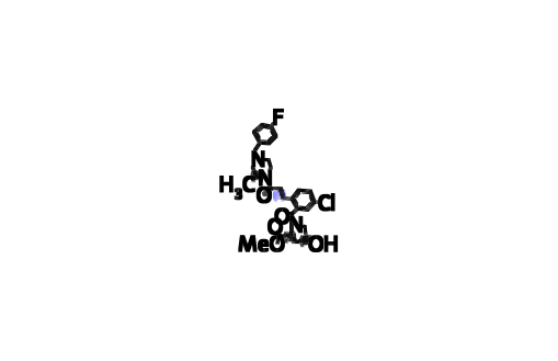 COC(=O)[C@@H]1C[C@@H](O)CN1C(=O)c1cc(Cl)ccc1/C=C/C(=O)N1CCN(Cc2ccc(F)cc2)C[C@H]1C